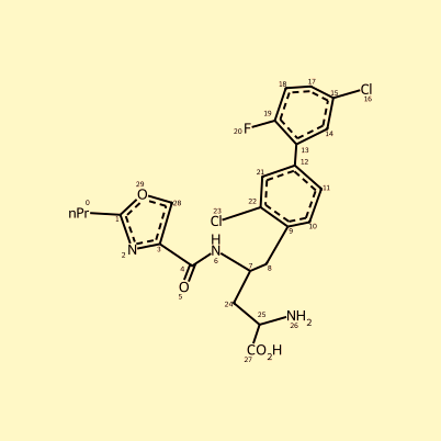 CCCc1nc(C(=O)NC(Cc2ccc(-c3cc(Cl)ccc3F)cc2Cl)CC(N)C(=O)O)co1